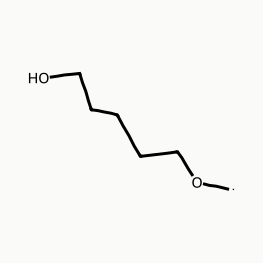 [CH2]OCCCCCO